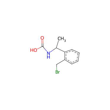 CC(NC(=O)O)c1ccccc1CBr